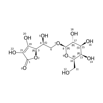 O=C1O[C@H]([C@@H](O)CO[C@@H]2O[C@H](CO)[C@H](O)[C@H](O)[C@H]2O)C(O)=C1O